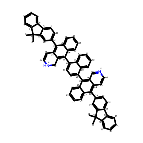 CC1(C)c2ccccc2-c2ccc(-c3c4c(c(-c5ccc(-c6c7ccccc7c(-c7ccc8c(c7)C(C)(C)c7ccccc7-8)c7ccncc67)c6ccccc56)c5ccccc35)CNC=C4)cc21